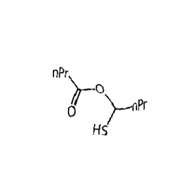 CCCC(=O)OC(S)CCC